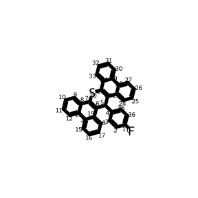 Fc1ccc(C2c3c(c4ccccc4c4ccccc34)Sc3c2c2ccccc2c2ccccc32)cc1